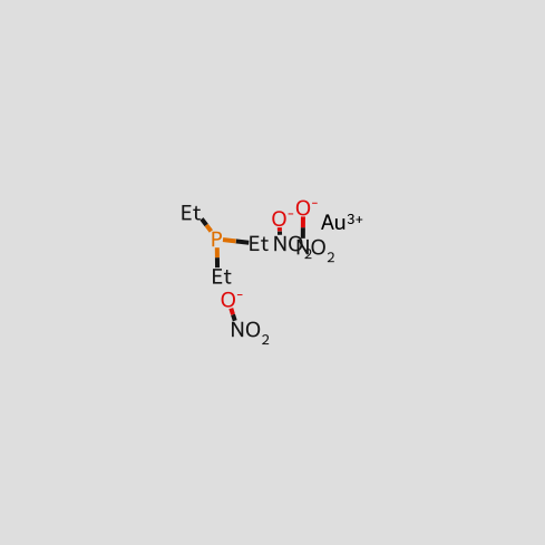 CCP(CC)CC.O=[N+]([O-])[O-].O=[N+]([O-])[O-].O=[N+]([O-])[O-].[Au+3]